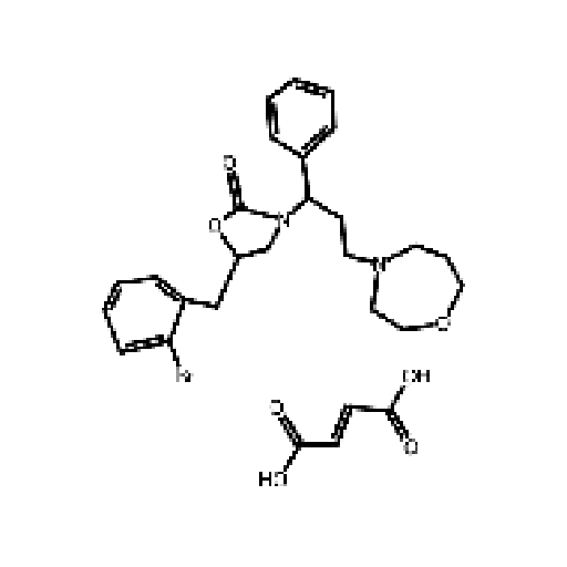 O=C(O)C=CC(=O)O.O=C1OC(Cc2ccccc2Br)CN1C(CCN1CCCOCC1)c1ccccc1